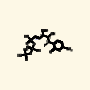 CO[C@H](/C=C/P(=O)(O)OP(=O)(O)OP(=O)(O)O)[C@@H](O)[C@@H](F)n1ccc(N)nc1=O